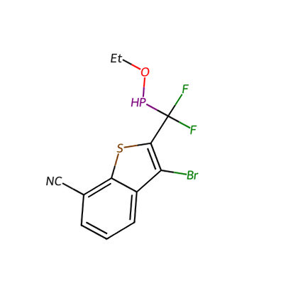 CCOPC(F)(F)c1sc2c(C#N)cccc2c1Br